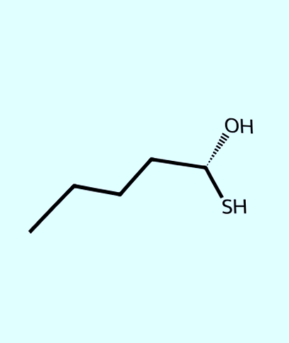 CCCC[C@H](O)S